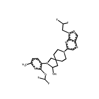 Cc1ccc(N2CC3(CCN(c4cnc5cnn(CC(F)F)c5n4)CC3)CC2O)c(OC(F)F)n1